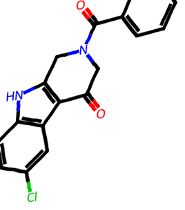 O=C1CN(C(=O)c2ccccc2)Cc2[nH]c3ccc(Cl)cc3c21